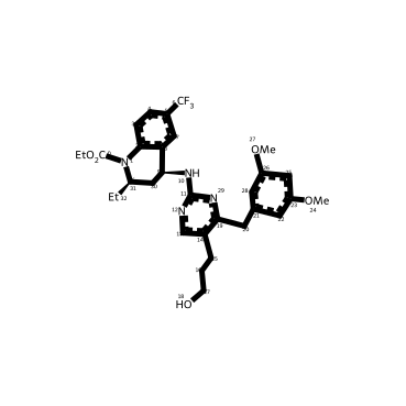 CCOC(=O)N1c2ccc(C(F)(F)F)cc2[C@@H](Nc2ncc(CCCO)c(Cc3cc(OC)cc(OC)c3)n2)C[C@H]1CC